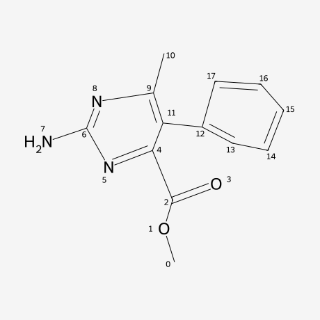 COC(=O)c1nc(N)nc(C)c1-c1ccccc1